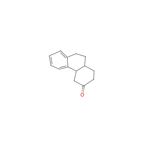 O=C1CCC2CCc3ccccc3C2C1